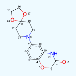 O=C1COc2ccc(N3CCC4(CC3)OCCO4)cc2N1